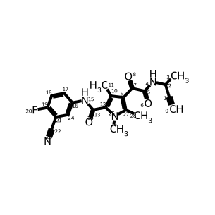 C#CC(C)NC(=O)C(=O)c1c(C)c(C(=O)Nc2ccc(F)c(C#N)c2)n(C)c1C